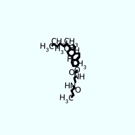 CCCC(=O)NCCNC(=O)O[C@H]1CC[C@@]2(C)C(=CC[C@H]3[C@@H]4CC[C@H]([C@H](C)CCCC(C)C)[C@@]4(C)CC[C@@H]32)C1